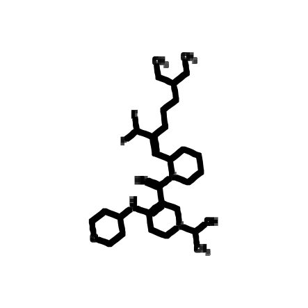 CCC(CC)CCC/C(=C\C1CCCCN1C(=N)C1=C(NC2CCOCC2)CCN(C(C)O)C1)C(F)F